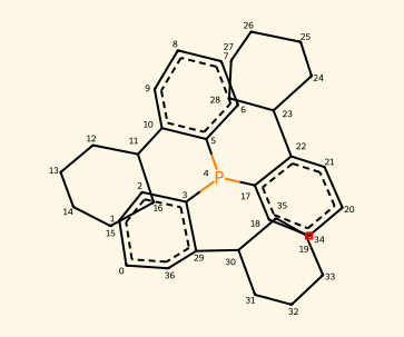 c1ccc(P(c2ccccc2C2CCCCC2)c2ccccc2C2CCCCC2)c(C2CCCCC2)c1